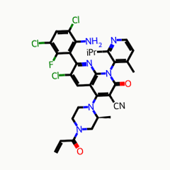 C=CC(=O)N1CCN(c2c(C#N)c(=O)n(-c3c(C)ccnc3C(C)C)c3nc(-c4c(N)c(Cl)cc(Cl)c4F)c(Cl)cc23)[C@@H](C)C1